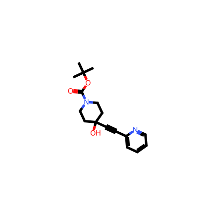 CC(C)(C)OC(=O)N1CCC(O)(C#Cc2ccccn2)CC1